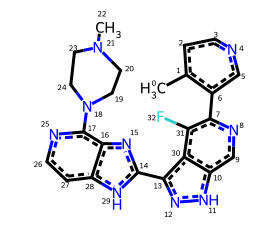 Cc1ccncc1-c1ncc2[nH]nc(-c3nc4c(N5CCN(C)CC5)nccc4[nH]3)c2c1F